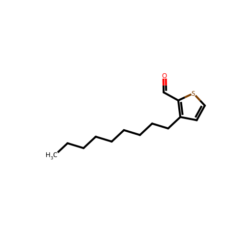 CCCCCCCCCc1ccsc1C=O